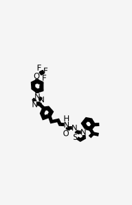 Cc1cccc(N2CCS/C2=N\C(=O)NCCCc2ccc(-c3ncn(-c4ccc(OC(F)(F)F)cc4)n3)cc2)c1C(C)C